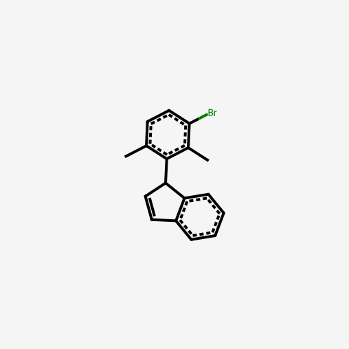 Cc1ccc(Br)c(C)c1C1C=Cc2ccccc21